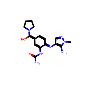 Cn1ncc(N=C2C=CC(=C(O)N3CCCC3)C=C2NC(N)=O)c1N